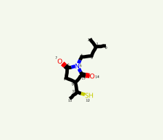 CC(C)CCN1C(=O)CC(C(C)S)C1=O